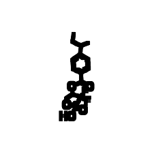 CCC(C)c1ccc(C(=O)OC(C)C(F)(F)S(=O)(=O)O)cc1